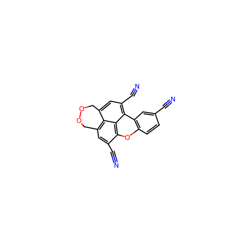 N#Cc1ccc2c(c1)-c1c(C#N)cc3c4c(cc(C#N)c(c14)O2)COOC3